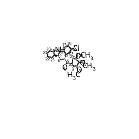 COc1cc(C(=O)/C=C/c2c(-c3ccc(Cl)cc3)[nH]c3ccccc23)cc(OC)c1OC